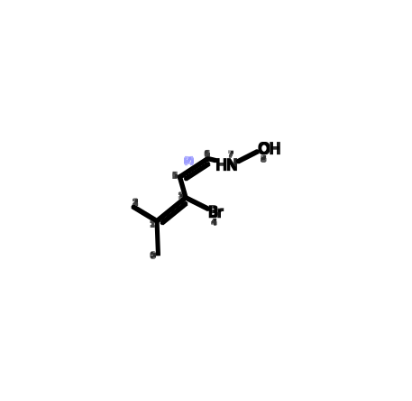 CC(C)=C(Br)/C=C\NO